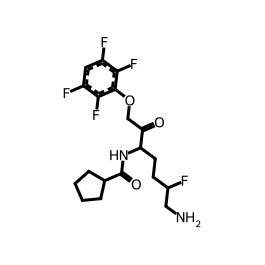 NCC(F)CCC(NC(=O)C1CCCC1)C(=O)COc1c(F)c(F)cc(F)c1F